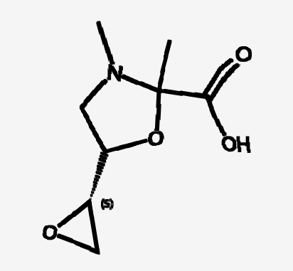 CN1CC([C@@H]2CO2)OC1(C)C(=O)O